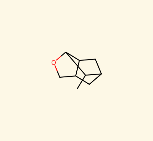 CC1C2CC3COC1C3C2